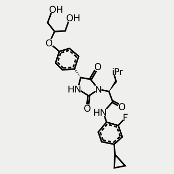 CC(C)C[C@@H](C(=O)Nc1ccc(C2CC2)cc1F)N1C(=O)N[C@H](c2ccc(OC(CO)CO)cc2)C1=O